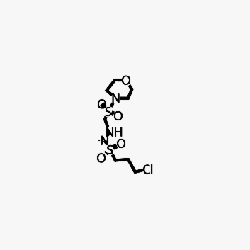 O=S(=O)(CCCCl)[N]NCS(=O)(=O)N1CCOCC1